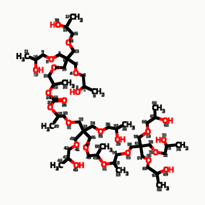 CC(O)COCC(COCC(C)O)(COCC(C)O)COCC(C)OC(=O)OC(C)COCC(COCC(C)O)(COCC(C)O)COCC(C)OC(C)COCC(COCC(C)O)(COCC(C)O)COCC(C)O